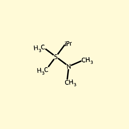 CC(C)S(C)(C)N(C)C